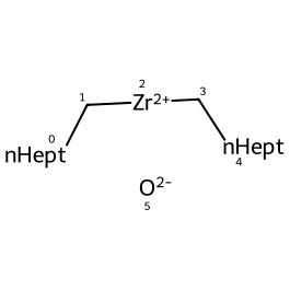 CCCCCCC[CH2][Zr+2][CH2]CCCCCCC.[O-2]